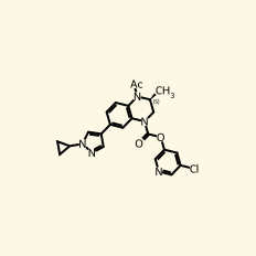 CC(=O)N1c2ccc(-c3cnn(C4CC4)c3)cc2N(C(=O)Oc2cncc(Cl)c2)C[C@@H]1C